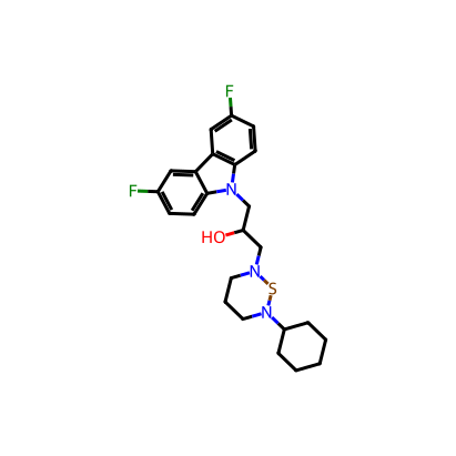 OC(CN1CCCN(C2CCCCC2)S1)Cn1c2ccc(F)cc2c2cc(F)ccc21